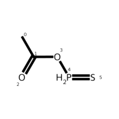 CC(=O)O[PH2]=S